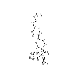 CCCC[C@H]1CC[C@H]([C@H]2CC[C@H]([SiH2]C(OC)(OC)OC)CC2)CC1